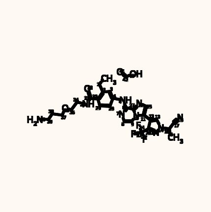 CCc1cc(Nc2nccn3c(-c4cn(C(C)C#N)nc4C(F)(F)F)cnc23)ccc1C(=O)NCCOCCCN.O=CO